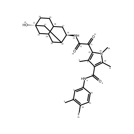 Cc1cc(NC(=O)c2c(C)c(C(=O)C(=O)N[C@@H]3CC4CC[C@]5(O)CC4CC3C5)n(C)c2C)ccc1F